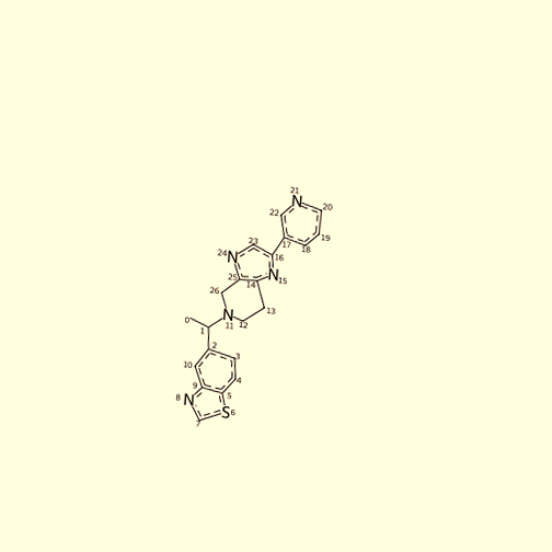 CC(c1ccc2scnc2c1)N1CCc2nc(-c3cccnc3)cnc2C1